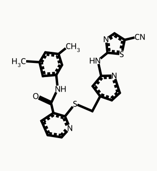 Cc1cc(C)cc(NC(=O)c2cccnc2SCc2ccnc(Nc3ncc(C#N)s3)c2)c1